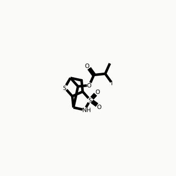 CC(I)C(=O)OC1C2CC3C(S2)C1NS3(=O)=O